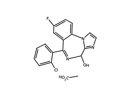 CC(=O)O.OC1N=C(c2ccccc2Cl)c2cc(F)ccc2-n2ccnc21